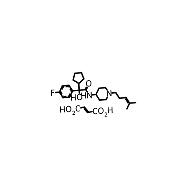 CC(C)=CCCN1CCC(NC(=O)C(O)(c2ccc(F)cc2)C2CCCC2)CC1.O=C(O)C=CC(=O)O